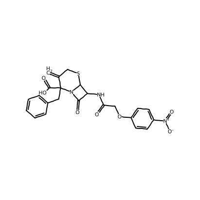 C=C1CSC2C(NC(=O)COc3ccc([N+](=O)[O-])cc3)C(=O)N2C1(Cc1ccccc1)C(=O)O